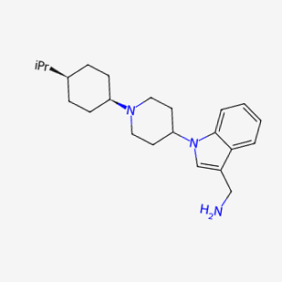 CC(C)[C@H]1CC[C@@H](N2CCC(n3cc(CN)c4ccccc43)CC2)CC1